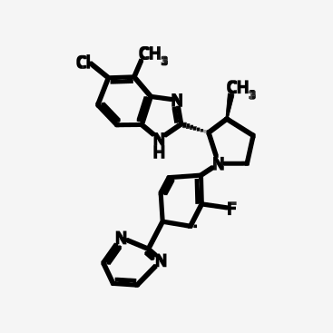 Cc1c(Cl)ccc2[nH]c([C@@H]3[C@@H](C)CCN3C3=C(F)[CH]C(c4ncccn4)C=C3)nc12